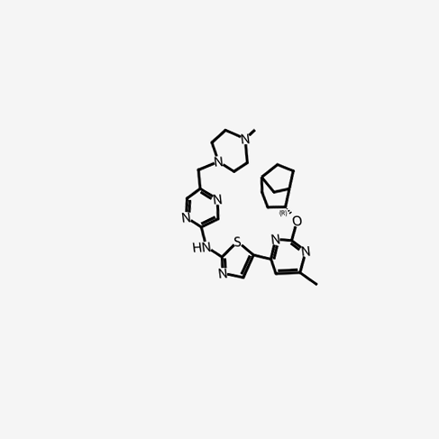 Cc1cc(-c2cnc(Nc3cnc(CN4CCN(C)CC4)cn3)s2)nc(O[C@@H]2CCC3CCC2C3)n1